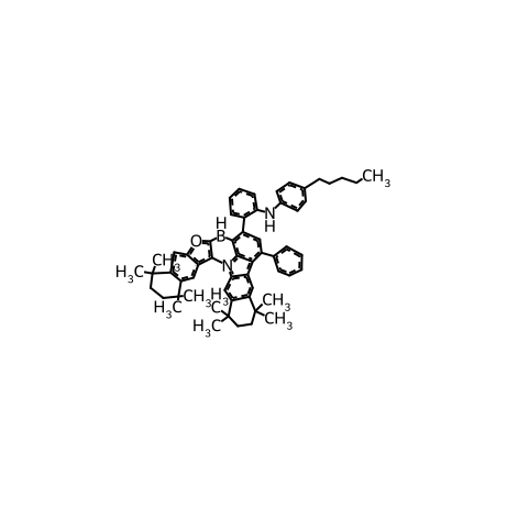 CCCCCc1ccc(Nc2ccccc2-c2cc(-c3ccccc3)c3c4cc5c(cc4n4c3c2Bc2oc3cc6c(cc3c2-4)C(C)(C)CCC6(C)C)C(C)(C)CCC5(C)C)cc1